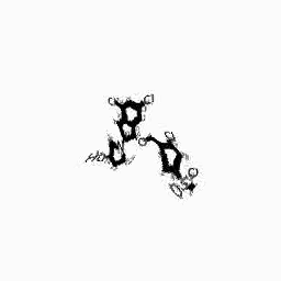 CS(=O)(=O)c1ccc(CO[C@@H]2c3cc(Cl)cc(Cl)c3C[C@@H]2N2CC[C@@H](O)C2)c(Cl)c1